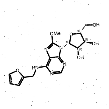 COc1nc2c(NCc3ccco3)ncnc2n1[C@@H]1O[C@H](CO)[C@@H](O)[C@H]1O